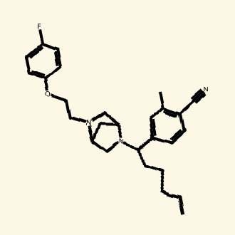 CCCCCC(c1ccc(C#N)c(C)c1)N1CC2CC1CN2CCOc1ccc(F)cc1